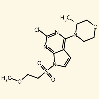 COCCS(=O)(=O)n1ccc2c(N3CCOC[C@H]3C)nc(Cl)nc21